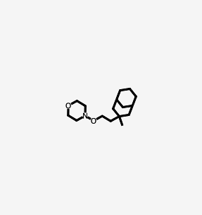 CC1(CCON2CCOCC2)CC2CCCC(C2)C1